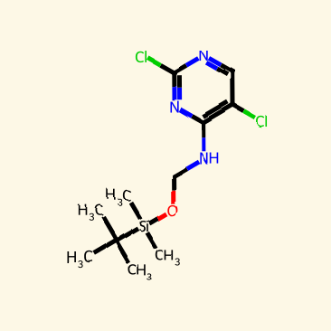 CC(C)(C)[Si](C)(C)OCNc1nc(Cl)ncc1Cl